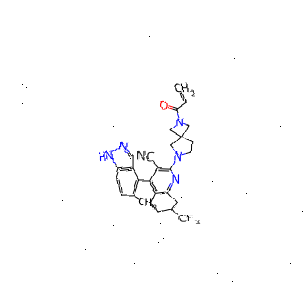 C=CC(=O)N1CC2(CCN(c3nc4c(c(-c5c(C)ccc6[nH]ncc56)c3C#N)CCC(C(F)(F)F)C4)C2)C1